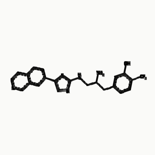 NC(CNc1ncc(-c2ccc3ccncc3c2)s1)Cc1ccc(C(F)(F)F)c(O)c1